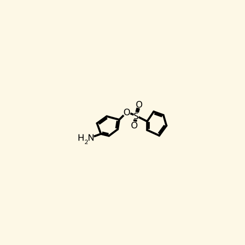 Nc1ccc(OS(=O)(=O)c2ccccc2)cc1